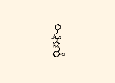 CN(CCc1ccccc1)C(=O)c1cn(Cc2ccccc2Cl)nn1